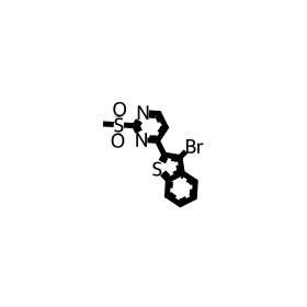 CS(=O)(=O)c1nccc(-c2sc3ccccc3c2Br)n1